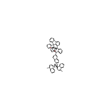 Cc1ccc(N(c2ccc3cc(-c4c5ccccc5c(-c5cccc6c5C(c5ccccc5)(c5ccccc5)c5ccccc5-6)c5ccccc45)ccc3c2)c2ccc(C)c3ccccc23)c2ccccc12